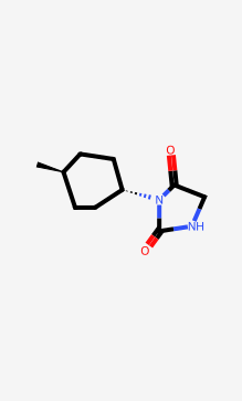 C[C@H]1CC[C@H](N2C(=O)CNC2=O)CC1